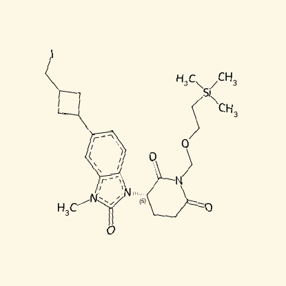 Cn1c(=O)n([C@H]2CCC(=O)N(COCC[Si](C)(C)C)C2=O)c2ccc(C3CC(CI)C3)cc21